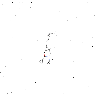 C=CN(CC1(C)CC1CC/C=C\CC)C(=O)C1CC1